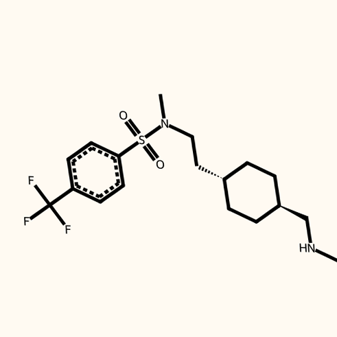 CNC[C@H]1CC[C@H](CCN(C)S(=O)(=O)c2ccc(C(F)(F)F)cc2)CC1